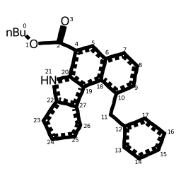 CCCCOC(=O)c1cc2cccc(Cc3ccccc3)c2c2c1[nH]c1ccccc12